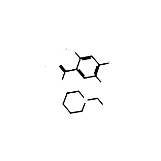 COc1cc(N)c(Cl)cc1C(N)=O.Cl.O=C(O)CN1CCCCC1